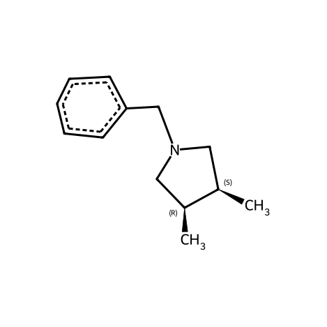 C[C@@H]1CN(Cc2ccccc2)C[C@@H]1C